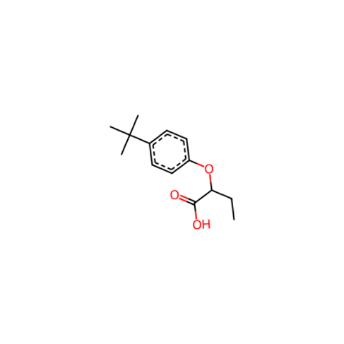 CCC(Oc1ccc(C(C)(C)C)cc1)C(=O)O